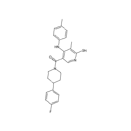 Cc1ccc(Nc2c(C(=O)N3CCC(c4ccc(F)cc4)CC3)cnc(S)c2C)cc1